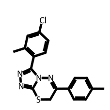 Cc1ccc(C2=Nn3c(nnc3-c3ccc(Cl)cc3C)SC2)cc1